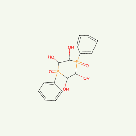 O=P1(c2ccccc2)C(O)C(O)P(=O)(c2ccccc2)C(O)C1O